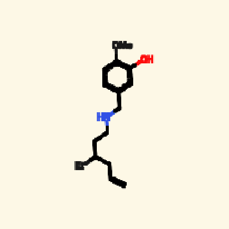 C=CCC(CC)CCNCc1ccc(OC)c(O)c1